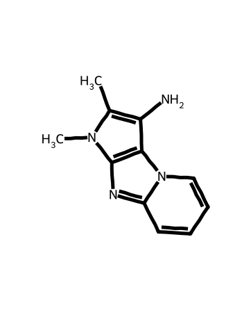 Cc1c(N)c2c(nc3ccccn32)n1C